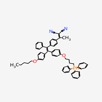 CCCCCOc1ccc(/C(=C(\c2ccccc2)c2ccc(C(C)=C(C#N)C#N)cc2)c2ccc(OCCCC[PH](c3ccccc3)(c3ccccc3)c3ccccc3)cc2)cc1